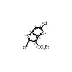 CCOC(=O)c1c(Cl)sc2cc(Cl)sc12